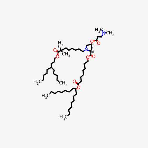 CCCCCCCCC(CCCCCCCC)OC(=O)CCCCCCCOC(=O)[C@@H]1C[C@H](OC(=O)CCN(C)C)CN1CCCCCCC(C)(C)C(=O)OCCCC(CCCCC)CCCCC